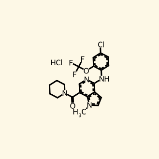 Cl.Cn1ccc2c(Nc3ccc(Cl)cc3OC(F)(F)F)ncc(C(=O)N3CCCCC3)c21